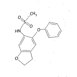 CS(=O)(=O)Nc1cc2c(cc1Oc1ccccc1)CCO2